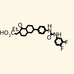 CC[C@@]1(CC(=O)O)CCC2CC(c3ccc(NC(=O)Nc4ccc(F)c(F)c4)cc3)CCC2C1=O